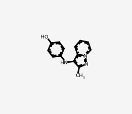 Cc1nn2ccccc2c1Nc1ccc(O)cc1